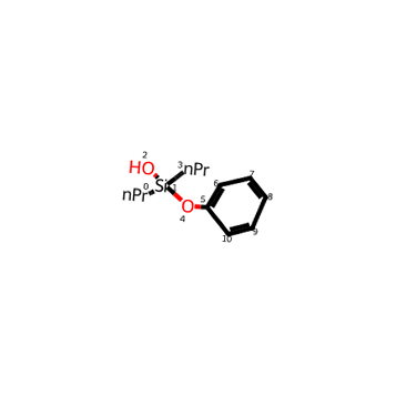 CCC[Si](O)(CCC)Oc1ccccc1